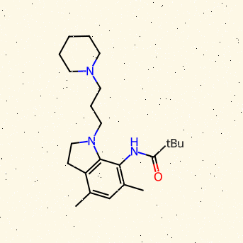 Cc1cc(C)c(NC(=O)C(C)(C)C)c2c1CCN2CCCN1CCCCC1